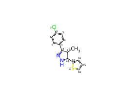 CC1C(c2ccc(Cl)cc2)=NNC1c1cccs1